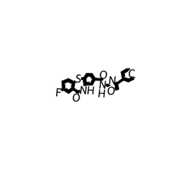 O=C(Nc1nc(-c2ccccc2)co1)c1ccc2c(c1)NC(=O)c1cc(F)ccc1S2